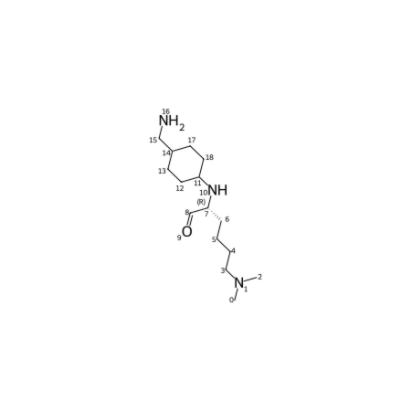 CN(C)CCCC[C@H](C=O)NC1CCC(CN)CC1